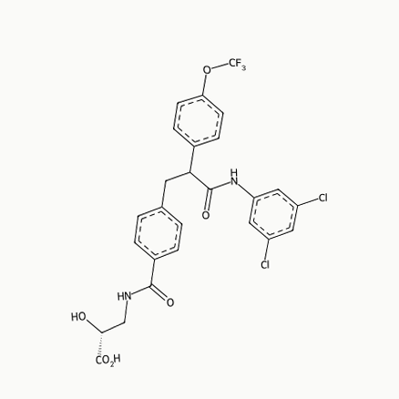 O=C(NC[C@@H](O)C(=O)O)c1ccc(CC(C(=O)Nc2cc(Cl)cc(Cl)c2)c2ccc(OC(F)(F)F)cc2)cc1